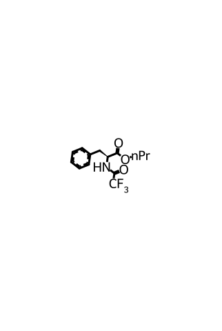 CCCOC(=O)[C@H](Cc1ccccc1)NC(=O)C(F)(F)F